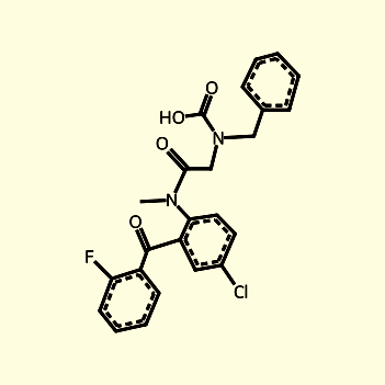 CN(C(=O)CN(Cc1ccccc1)C(=O)O)c1ccc(Cl)cc1C(=O)c1ccccc1F